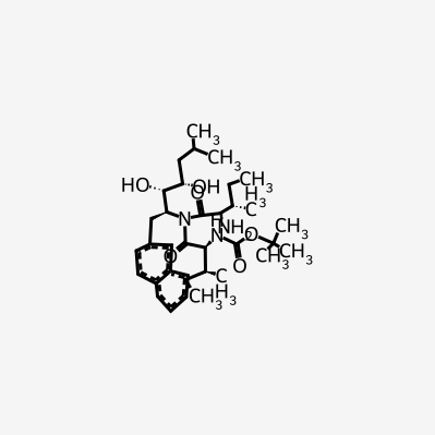 CC[C@H](C)[C@H](N)C(=O)N(C(=O)[C@@H](NC(=O)OC(C)(C)C)[C@@H](C)CC)[C@@H](Cc1ccc2ccccc2c1)[C@H](O)[C@@H](O)CC(C)C